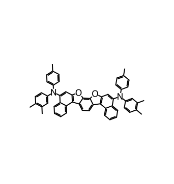 Cc1ccc(N(c2ccc(C)c(C)c2)c2cc3oc4c(ccc5c4oc4cc(N(c6ccc(C)cc6)c6ccc(C)c(C)c6)c6ccccc6c45)c3c3ccccc23)cc1